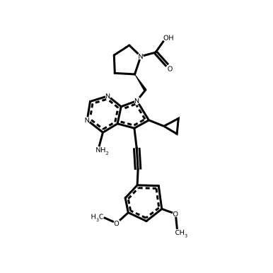 COc1cc(C#Cc2c(C3CC3)n(C[C@H]3CCCN3C(=O)O)c3ncnc(N)c23)cc(OC)c1